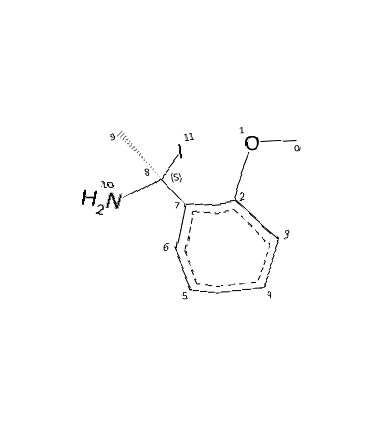 COc1ccccc1[C@@](C)(N)I